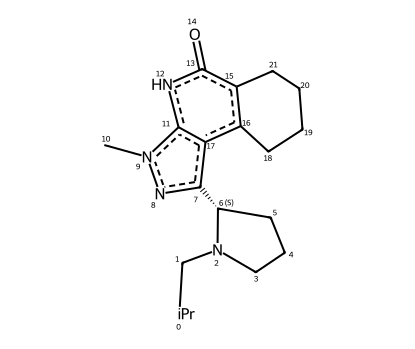 CC(C)CN1CCC[C@H]1c1nn(C)c2[nH]c(=O)c3c(c12)CCCC3